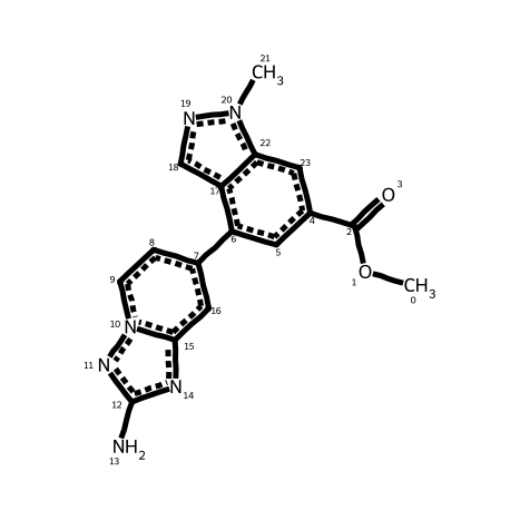 COC(=O)c1cc(-c2ccn3nc(N)nc3c2)c2cnn(C)c2c1